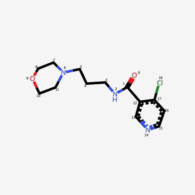 O=C(NCCCN1CCOCC1)c1cnccc1Cl